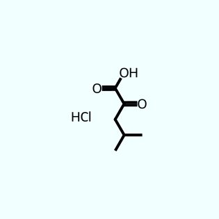 CC(C)CC(=O)C(=O)O.Cl